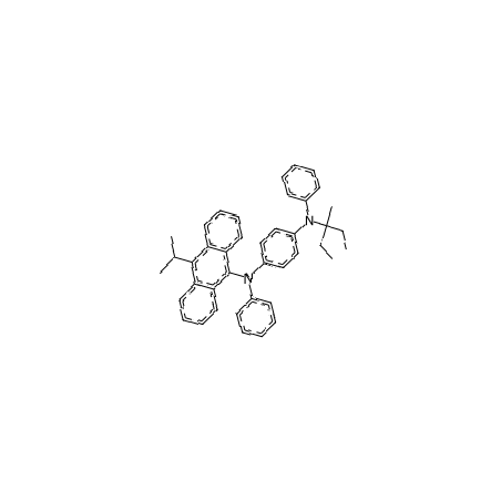 CCC(C)(CC)N(c1ccccc1)c1ccc(N(c2ccccc2)c2c3ccccc3c(C(C)C)c3ccccc23)cc1